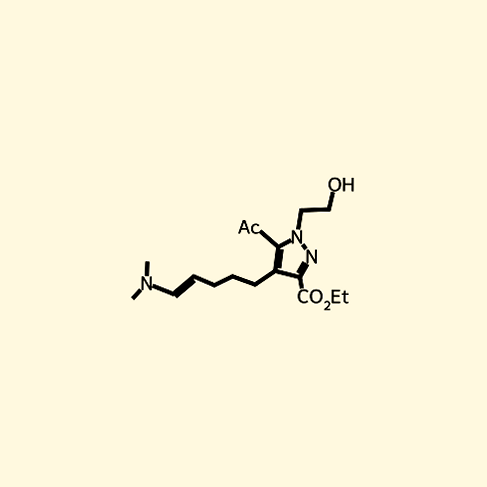 CCOC(=O)c1nn(CCO)c(C(C)=O)c1CCCC=CN(C)C